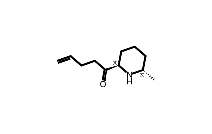 C=CCCC(=O)[C@H]1CCC[C@H](C)N1